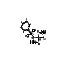 O=S(=O)(c1ccccc1)C1NCC12CNC2